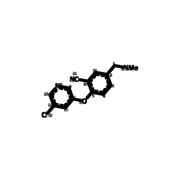 CNCc1ccc(Oc2cncc(Cl)c2)c(C#N)c1